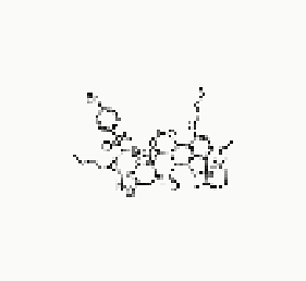 CCCCOc1noc2c1[C@H](OC(C)S(=O)(=O)c1ccc(Br)cc1)[C@]1(O)C(=O)c3c(c4c5c(c(OC)cc(OCCCC)c5c3O)[C@@]3(C4)C(C)=CCCC3(C)C)C(=O)[C@@H]1C2